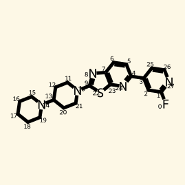 Fc1cc(-c2ccc3nc(N4CCC(N5CCCCC5)CC4)sc3n2)ccn1